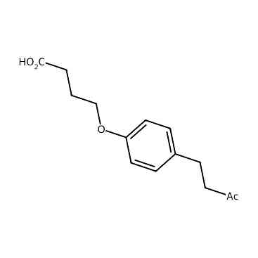 CC(=O)CCc1ccc(OCCCC(=O)O)cc1